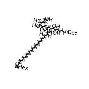 CCCCCCCCCCCCCCC(O)[C@@H](O)[C@H](CC[C@H]1OC(CO)[C@H](O)C(O)C1O)NC(=O)CCCCCCCCCCCCCCCCCCCOCCCCCC